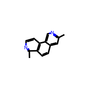 Cc1cc2ccc3c(C)nccc3c2cn1